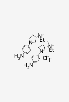 CC[N+](C)(C)C1CCN(c2ccc(N)cc2)C1.CC[N+](C)(C)C1CCN(c2ccc(N)cc2)C1.[Cl-].[I-]